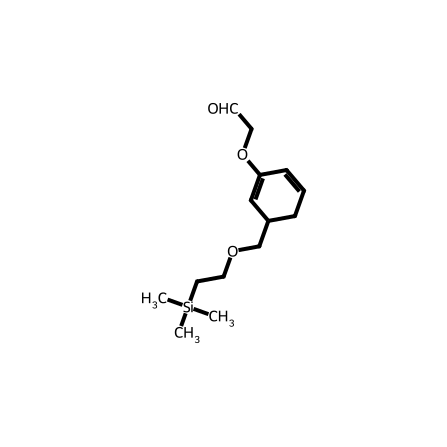 C[Si](C)(C)CCOCC1C=C(OCC=O)C=CC1